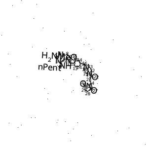 CCCCCNc1nc(N)nc2ccn(Cc3ccc(CN4CCN(C(=O)CCN5C(=O)C=CC5=O)CC4)cc3OC)c12